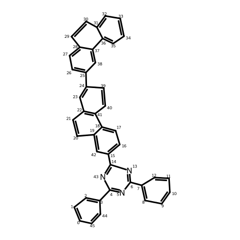 c1ccc(-c2nc(-c3ccccc3)nc(-c3ccc4c(ccc5cc(-c6ccc7ccc8ccccc8c7c6)ccc54)c3)n2)cc1